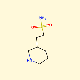 NS(=O)(=O)CCC1CCCNC1